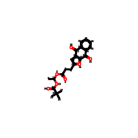 CC(OC(=O)CCc1cc2c(o1)C(=O)c1ccccc1C2=O)OC(=O)C(C)(C)C